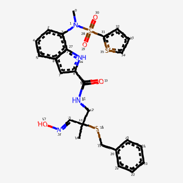 CN(c1cccc2cc(C(=O)NCC(C)(/C=N/O)SCc3ccccc3)[nH]c12)S(=O)(=O)c1cccs1